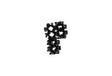 C1CCC2CCCCC2C1.c1ccc2c(c1)CCCC2.c1ccc2ccccc2c1